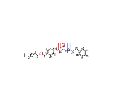 C=CCOCc1ccc(OCC(O)CNCCc2ccccc2)cc1